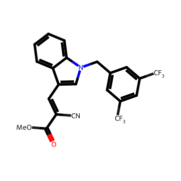 COC(=O)/C(C#N)=C/c1cn(Cc2cc(C(F)(F)F)cc(C(F)(F)F)c2)c2ccccc12